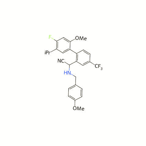 COc1ccc(CNC(C#N)c2cc(C(F)(F)F)ccc2-c2cc(C(C)C)c(F)cc2OC)cc1